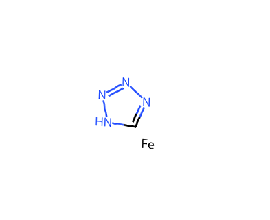 [Fe].c1nnn[nH]1